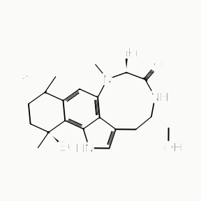 CC[C@@]1(C)CC[C@](C)(C(C)C)c2cc3c4c(c[nH]c4c21)C[C@@H](CO)NC(=O)[C@H](C(C)C)N3C